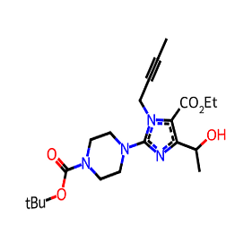 CC#CCn1c(N2CCN(C(=O)OC(C)(C)C)CC2)nc(C(C)O)c1C(=O)OCC